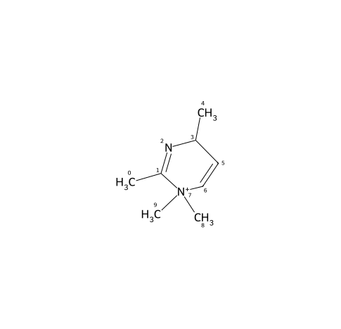 CC1=NC(C)C=C[N+]1(C)C